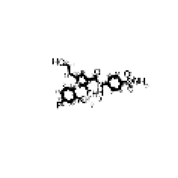 Cc1c(C(=O)Nc2ccc(S(N)(=O)=O)cc2)cc(CCO)n1-c1ccc(F)cc1C(F)(F)F